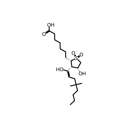 CCCCC(C)(C)C/C=C(/O)[C@H]1[C@@H](O)CS(=O)(=O)[C@H]1CCCCCCC(=O)O